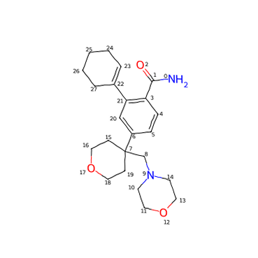 NC(=O)c1ccc(C2(CN3CCOCC3)CCOCC2)cc1C1=CCCCC1